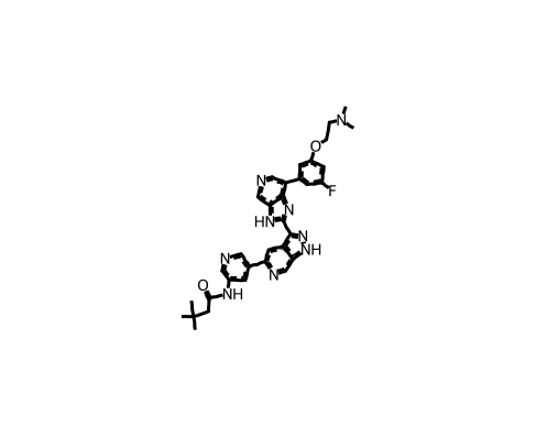 CN(C)CCOc1cc(F)cc(-c2cncc3[nH]c(-c4n[nH]c5cnc(-c6cncc(NC(=O)CC(C)(C)C)c6)cc45)nc23)c1